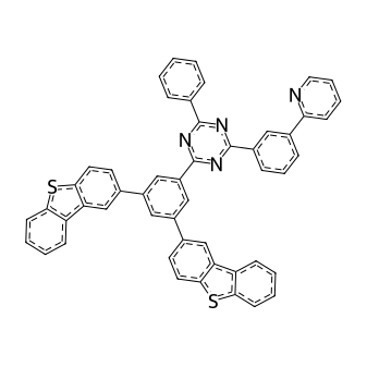 c1ccc(-c2nc(-c3cc(-c4ccc5sc6ccccc6c5c4)cc(-c4ccc5sc6ccccc6c5c4)c3)nc(-c3cccc(-c4ccccn4)c3)n2)cc1